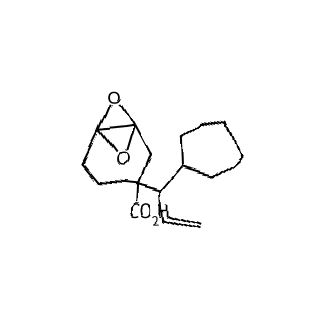 C=CC(C1CCCCC1)C1(C(=O)O)CCC23OC2(C1)O3